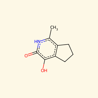 Cc1[nH]c(=O)c(O)c2c1CCC2